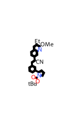 CCc1cc2ccc(/C(C#N)=C/c3cccc(-c4cccn4C(=O)OC(C)(C)C)c3)cc2nc1OC